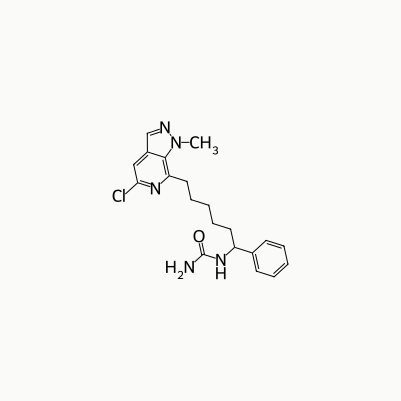 Cn1ncc2cc(Cl)nc(CCCCCC(NC(N)=O)c3ccccc3)c21